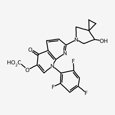 O=C(O)Oc1cn(-c2c(F)cc(F)cc2F)c2nc(N3CC(O)C4(CC4)C3)ccc2c1=O